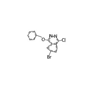 Clc1nnc(OCc2ccccc2)c2cc(Br)ccc12